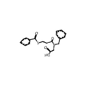 O=C(O)CN(Cc1ccccc1)C(=O)CCSC(=O)c1ccccc1